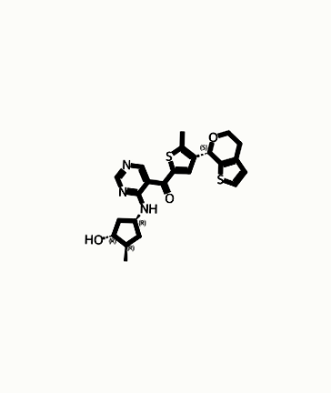 Cc1sc(C(=O)c2cncnc2N[C@@H]2C[C@@H](C)[C@H](O)C2)cc1[C@@H]1OCCc2ccsc21